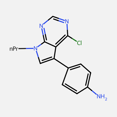 CCCn1cc(-c2ccc(N)cc2)c2c(Cl)ncnc21